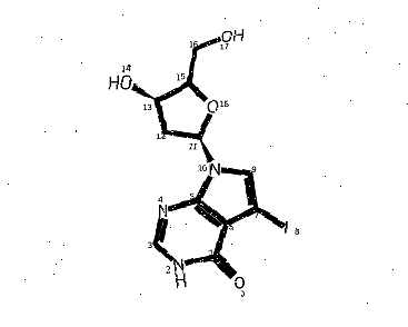 O=c1[nH]cnc2c1c(I)cn2[C@H]1C[C@@H](O)C(CO)O1